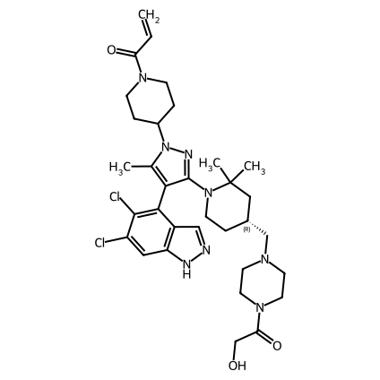 C=CC(=O)N1CCC(n2nc(N3CC[C@@H](CN4CCN(C(=O)CO)CC4)CC3(C)C)c(-c3c(Cl)c(Cl)cc4[nH]ncc34)c2C)CC1